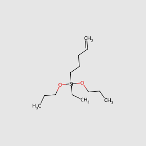 C=CCCC[Si](CC)(OCCC)OCCC